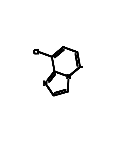 Clc1cc[c]n2ccnc12